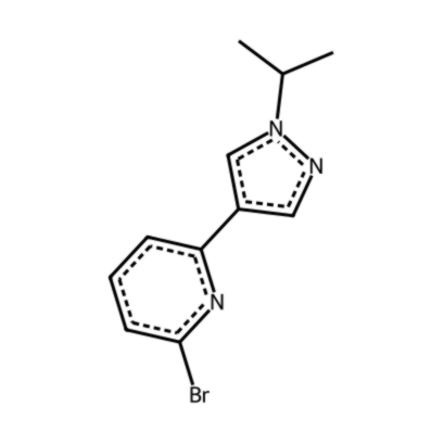 CC(C)n1cc(-c2cccc(Br)n2)cn1